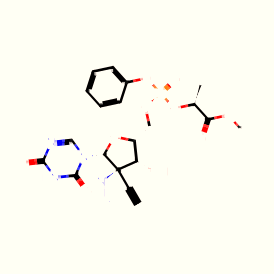 C#C[C@@]1(N)[C@@H](O)[C@@H](CO[P@](=O)(Oc2ccccc2)O[C@@H](C)C(=O)OC(C)C)O[C@H]1n1cnc(=O)[nH]c1=O